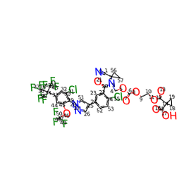 N#CC1(N(COC(=O)OCCOC(=O)C2(C(=O)O)CC2)C(=O)c2cc(-c3cnn(-c4c(Cl)cc(C(F)(C(F)(F)F)C(F)(F)F)cc4OC(F)(F)F)c3)ccc2Cl)CC1